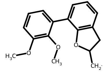 [CH2]C1Cc2cccc(-c3cccc(OC)c3OC)c2O1